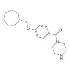 O=C(c1ccc(OCC2CCCCCC2)cc1)N1CCNCC1